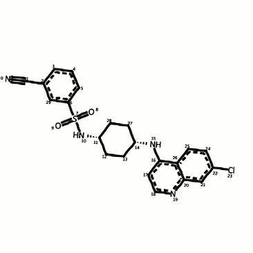 N#Cc1cccc(S(=O)(=O)N[C@H]2CC[C@@H](Nc3ccnc4cc(Cl)ccc34)CC2)c1